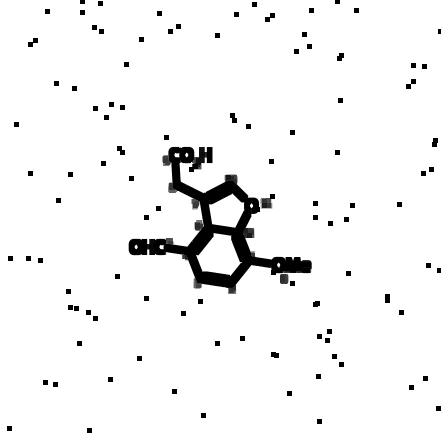 COc1ccc(C=O)c2c(CC(=O)O)coc12